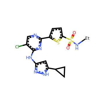 CCNS(=O)(=O)c1ccc(-c2ncc(Cl)c(Nc3cc(C4CC4)[nH]n3)n2)s1